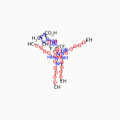 C#CCOCCOCCOCCOCCNC(=O)CN(CC(=O)NCCOCCOCCOCCOCC#C)C(=O)CN(CC(=O)N(CC(=O)NCCOCCOCCOCCOCC#C)CC(=O)NCCOCCOCCOCCOCC#C)C(=O)COCC(CNC(=O)CNC(=O)CN1CCN(C)CCN(C)CCN(CC(=O)O)CC1)(CC(F)(F)F)CC(F)(F)F